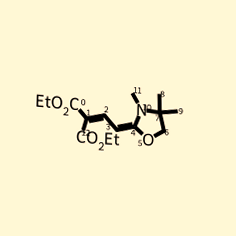 CCOC(=O)C(=CC=C1OCC(C)(C)N1C)C(=O)OCC